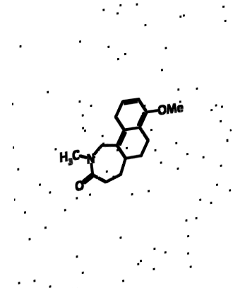 COC1=C2CCC3CCC(=O)N(C)CC3=C2CC=C1